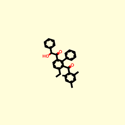 CCc1ccc(C(=O)C(O)c2ccccc2)c(-c2ccccc2)c1C(=O)c1c(C)cc(C)cc1C